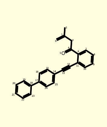 C=C(C)CC(=O)c1ccccc1C#Cc1ccc(-c2ccccc2)cc1